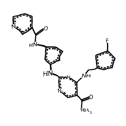 NC(=O)c1cnc(Nc2cccc(NC(=O)c3cccnc3)c2)nc1NCc1cccc(F)c1